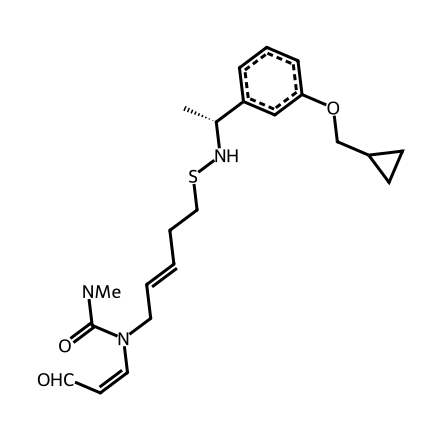 CNC(=O)N(/C=C\C=O)C/C=C/CCSN[C@H](C)c1cccc(OCC2CC2)c1